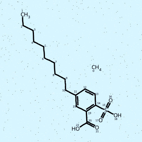 C.CCCCCCCCCCc1ccc(S(=O)(=O)O)c(C(=O)O)c1